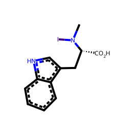 CN(I)[C@@H](Cc1c[nH]c2ccccc12)C(=O)O